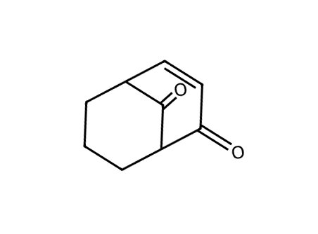 O=C1C=CC2CCCC1C2=O